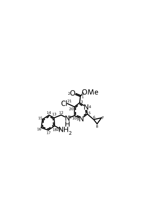 COC(=O)c1nc(C2CC2)nc(NCc2ccccc2N)c1Cl